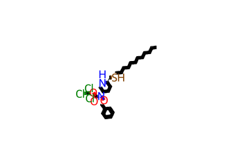 CCCCCCCCCCCC[SH]=C[C@@H]1CC[C@@H](N(OCc2ccccc2)C(=O)OC(Cl)(Cl)Cl)CN1